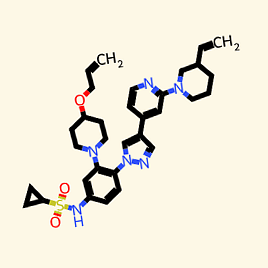 C=CCOC1CCN(c2cc(NS(=O)(=O)C3CC3)ccc2-n2cc(-c3ccnc(N4CCCC(C=C)C4)c3)cn2)CC1